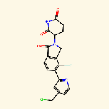 O=C1CCC(N2Cc3c(ccc(-c4cc(CCl)ccn4)c3F)C2=O)C(=O)N1